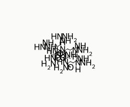 C[C@H](N)C(=O)N[C@@H](CCCNC(=N)N)C(=O)N[C@@H](CCCNC(=N)N)C(=O)N[C@@H](CCCNC(=N)N)C(=O)N[C@@H](C)C(=O)N[C@@H](CCCNC(=N)N)C(N)=O